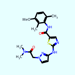 COc1ccc(C)c(NC(=O)c2cnc(Nc3ccn(CC(=O)N(C)C)n3)s2)c1C